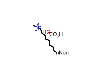 CCCCCCCCCCCCCCCCC[N+](C)(C)C.O=C(O)O